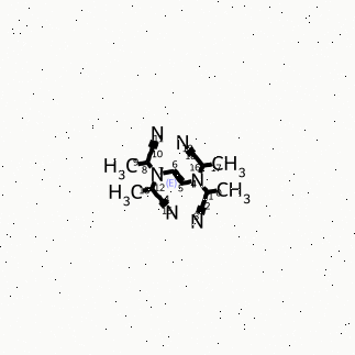 CC(C#N)N(/C=C/N(C(C)C#N)C(C)C#N)C(C)C#N